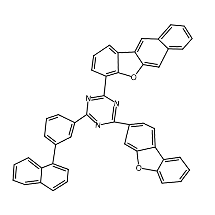 c1cc(-c2nc(-c3ccc4c(c3)oc3ccccc34)nc(-c3cccc4c3oc3cc5ccccc5cc34)n2)cc(-c2cccc3ccccc23)c1